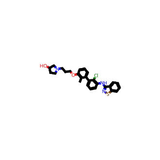 Cc1c(OCCCN2CCC(O)C2)cccc1-c1cccc(Nc2nsc3ccccc23)c1Cl